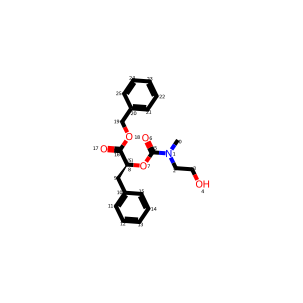 CN(CCO)C(=O)O[C@@H](Cc1ccccc1)C(=O)OCc1ccccc1